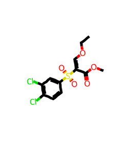 CCOC=C(C(=O)OC)S(=O)(=O)c1ccc(Cl)c(Cl)c1